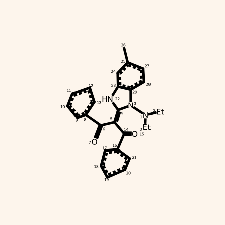 CCN(CC)N1C(=C(C(=O)c2ccccc2)C(=O)c2ccccc2)Nc2cc(C)ccc21